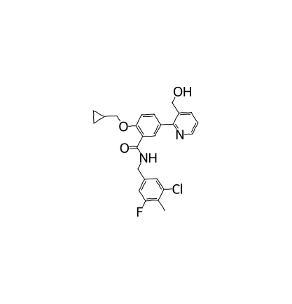 Cc1c(F)cc(CNC(=O)c2cc(-c3ncccc3CO)ccc2OCC2CC2)cc1Cl